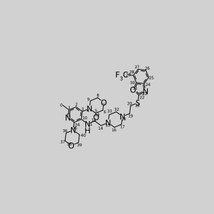 Cc1cc(N2CCOCC2)c(NC(=O)CN2CCN(CCSc3nc4cccc(C(F)(F)F)c4o3)CC2)c(N2CCOCC2)n1